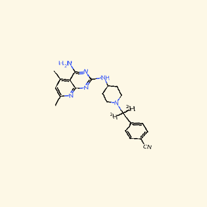 [2H]C([2H])(c1ccc(C#N)cc1)N1CCC(Nc2nc(N)c3c(C)cc(C)nc3n2)CC1